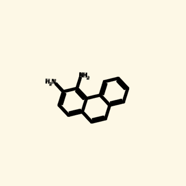 Nc1ccc2ccc3ccccc3c2c1N